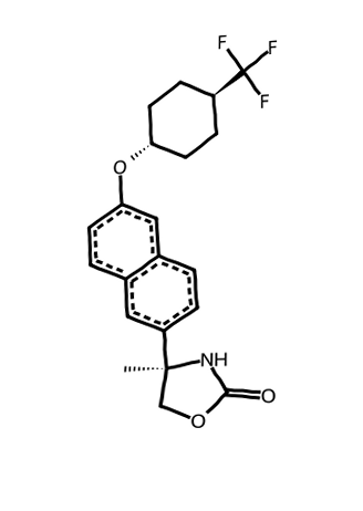 C[C@@]1(c2ccc3cc(O[C@H]4CC[C@H](C(F)(F)F)CC4)ccc3c2)COC(=O)N1